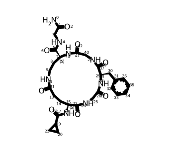 NC(=O)CNC(=O)[C@@H]1CCNC(=O)CC[C@H](NC(=O)C2CC2)C(=O)NCC(=O)N[C@H](Cc2ccccc2)C(=O)NCC(=O)N1